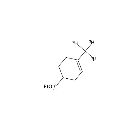 [2H]C([2H])([2H])C1=CCC(C(=O)OCC)CC1